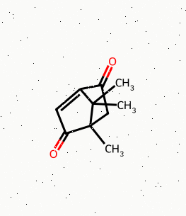 CC1(C)C2=CC(=O)C1(C)CC2=O